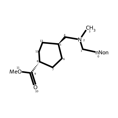 CCCCCCCCCCN(C)C[C@H]1CC[C@H](C(=O)OC)CC1